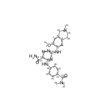 COc1cc2c(cc1Nc1nnc(C(N)=O)c(Nc3ccc(C(=O)N(C)C)cc3)n1)CCN(C)C2